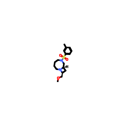 COC[C@@H]1C[C@@H]2CN(S(=O)(=O)c3cccc(C)c3)CCCCN12